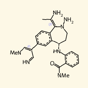 CN/C=C(\C=N)c1ccc2c(c1)C(Nc1ccccc1C(=O)NC)CCN(N)/C2=C(/C)N